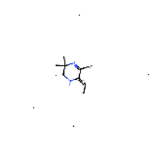 C/C=C1\NCC(C)(C)N=C1CC